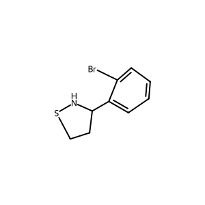 Brc1ccccc1C1CCSN1